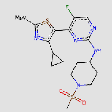 CNc1nc(C2CC2)c(-c2nc(NC3CCN(S(C)(=O)=O)CC3)ncc2F)s1